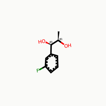 C[C@@H](O)[C@H](O)c1cccc(F)c1